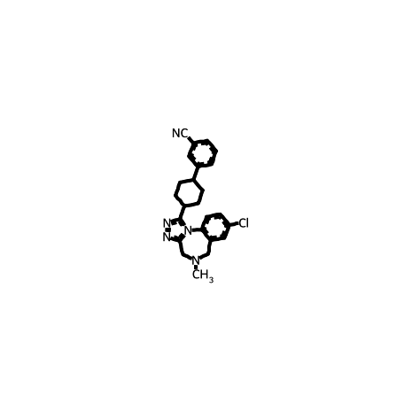 CN1Cc2cc(Cl)ccc2-n2c(nnc2C2CCC(c3cccc(C#N)c3)CC2)C1